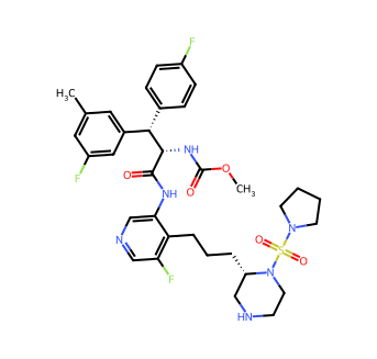 COC(=O)N[C@H](C(=O)Nc1cncc(F)c1CCC[C@H]1CNCCN1S(=O)(=O)N1CCCC1)[C@@H](c1ccc(F)cc1)c1cc(C)cc(F)c1